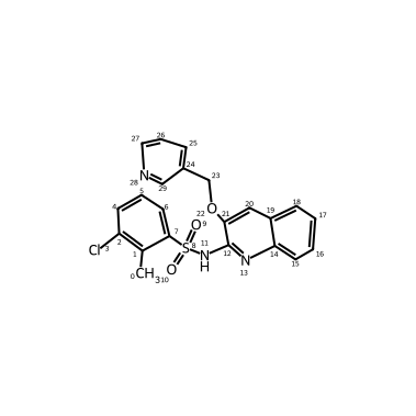 Cc1c(Cl)cccc1S(=O)(=O)Nc1nc2ccccc2cc1OCc1cccnc1